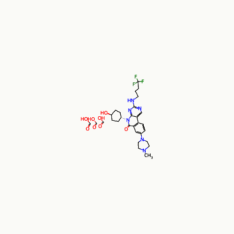 CN1CCN(c2ccc3c(c2)c(=O)n([C@H]2CC[C@H](O)CC2)c2nc(NCCCC(F)(F)F)ncc32)CC1.O=CO.O=CO.O=CO